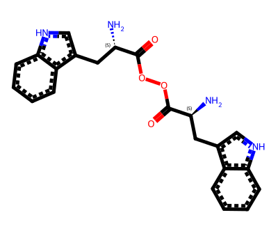 N[C@@H](Cc1c[nH]c2ccccc12)C(=O)OOC(=O)[C@@H](N)Cc1c[nH]c2ccccc12